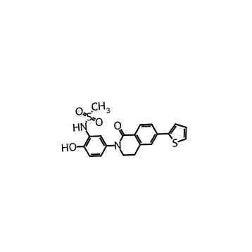 CS(=O)(=O)Nc1cc(N2CCc3cc(-c4cccs4)ccc3C2=O)ccc1O